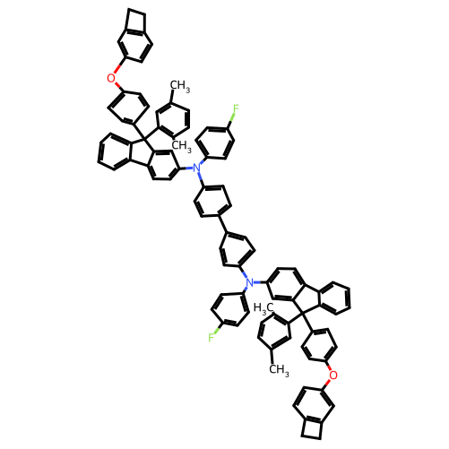 Cc1ccc(C)c(C2(c3ccc(Oc4ccc5c(c4)CC5)cc3)c3ccccc3-c3ccc(N(c4ccc(F)cc4)c4ccc(-c5ccc(N(c6ccc(F)cc6)c6ccc7c(c6)C(c6ccc(Oc8ccc9c(c8)CC9)cc6)(c6cc(C)ccc6C)c6ccccc6-7)cc5)cc4)cc32)c1